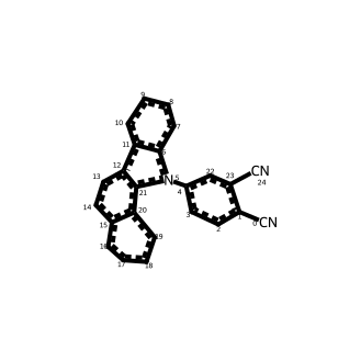 N#Cc1ccc(-n2c3ccccc3c3ccc4ccccc4c32)cc1C#N